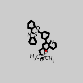 CC(Cc1cc(-c2cccc(COc3ccccc3-c3nc4ccccc4s3)c2)c2ncccc2c1)S(C)(=O)=O